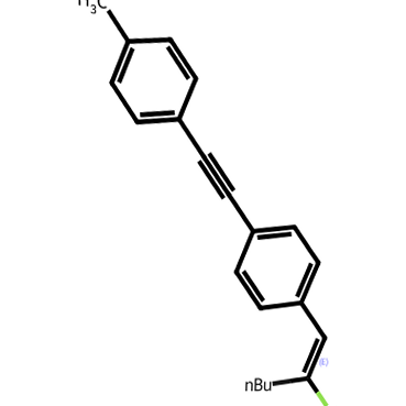 CCCC/C(F)=C\c1ccc(C#Cc2ccc(C)cc2)cc1